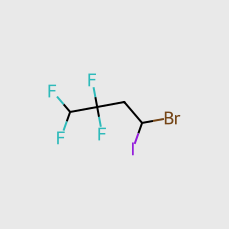 FC(F)C(F)(F)CC(Br)I